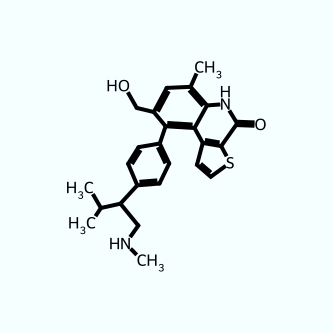 CNCC(c1ccc(-c2c(CO)cc(C)c3[nH]c(=O)c4sccc4c23)cc1)C(C)C